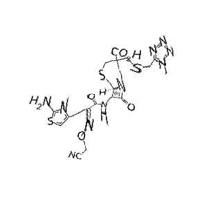 Cn1nnnc1SCC1(C(=O)O)CS[C@@H]2C(NC(=O)C(=NOCC#N)c3csc(N)n3)C(=O)N2C1